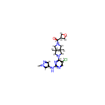 Cn1cc(Nc2ncc(Cl)c(N3C[C@]4(C)CN(C(=O)C5COC5)C[C@]4(C)C3)n2)cn1